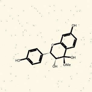 CO[C@]1(O)c2ccc(O)cc2O[C@@H](c2ccc(O)cc2)[C@H]1O